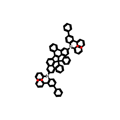 c1ccc(-c2ccc(N(c3ccccc3)c3ccc4c5c(ccc4c3)-c3c(c4ccc(N(c6ccccc6)c6ccc(-c7ccccc7)cc6-c6ccccc6)cc4c4ccccc34)C5(c3ccccc3)c3ccccc3)c(-c3ccccc3)c2)cc1